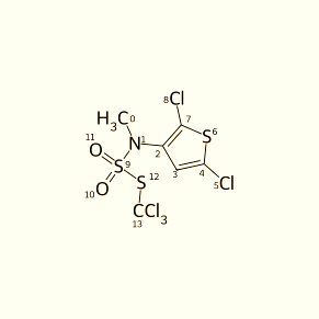 CN(c1cc(Cl)sc1Cl)S(=O)(=O)SC(Cl)(Cl)Cl